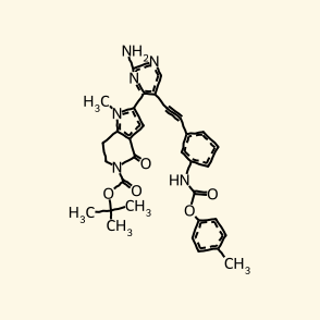 Cc1ccc(OC(=O)Nc2cccc(C#Cc3cnc(N)nc3-c3cc4c(n3C)CCN(C(=O)OC(C)(C)C)C4=O)c2)cc1